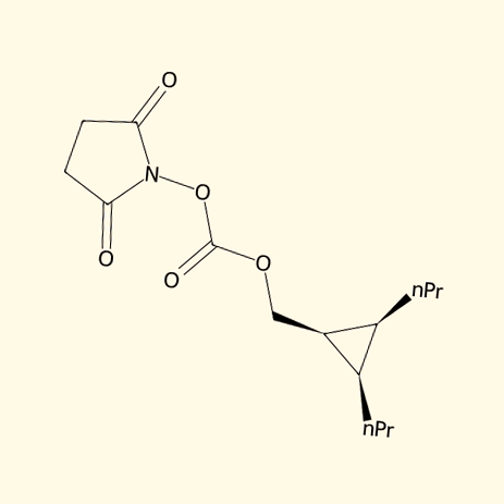 CCC[C@@H]1[C@H](CCC)[C@@H]1COC(=O)ON1C(=O)CCC1=O